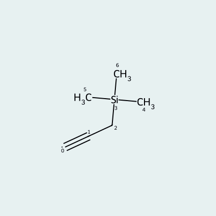 [C]#CC[Si](C)(C)C